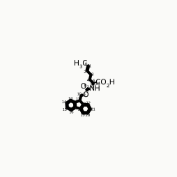 CC=CCC[C@H](NC(=O)OCC1c2ccccc2-c2ccccc21)C(=O)O